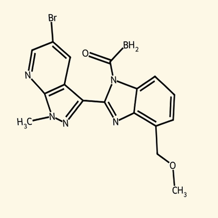 BC(=O)n1c(-c2nn(C)c3ncc(Br)cc23)nc2c(COC)cccc21